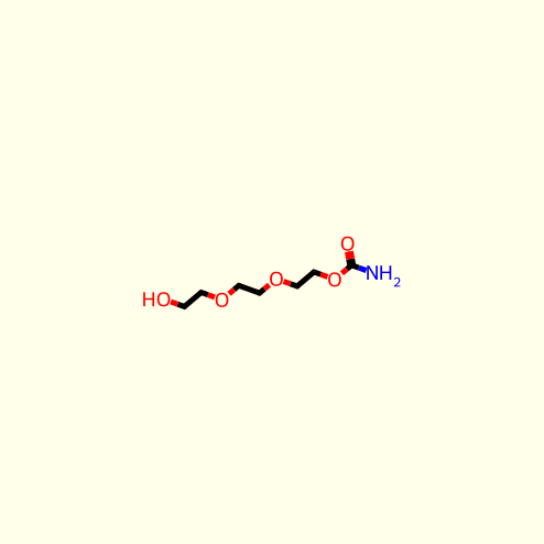 NC(=O)OCCOCCOCCO